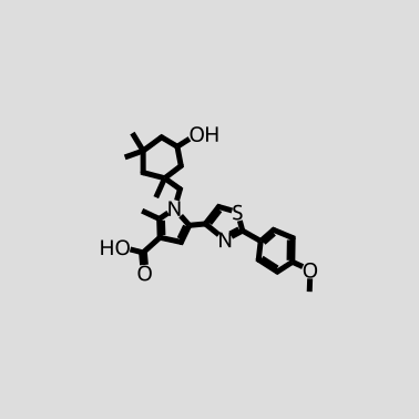 COc1ccc(-c2nc(-c3cc(C(=O)O)c(C)n3CC3(C)CC(O)CC(C)(C)C3)cs2)cc1